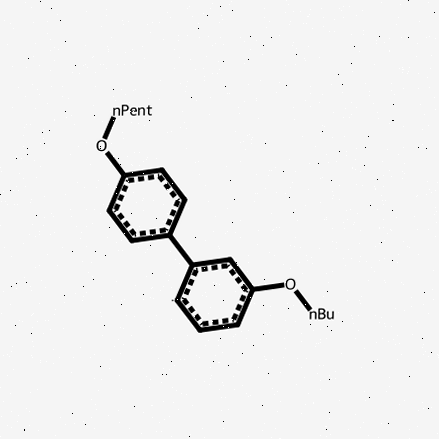 CCCCCOc1ccc(-c2[c]ccc(OCCCC)c2)cc1